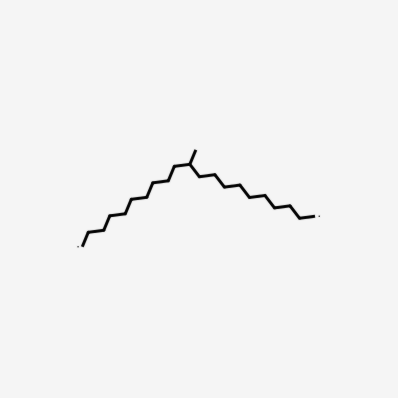 [CH2]CCCCCCCCCC(C)CCCCCCCCC[CH2]